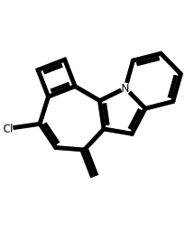 C=C1C=C(Cl)C2=C(C=C2)c2c1cc1ccccn21